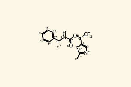 Cc1ncc([C@H](OC(=O)N[C@H](C)c2ccccc2)C(F)(F)F)s1